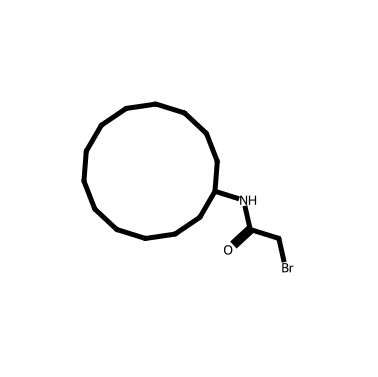 O=C(CBr)NC1CCCCCCCCCCCCC1